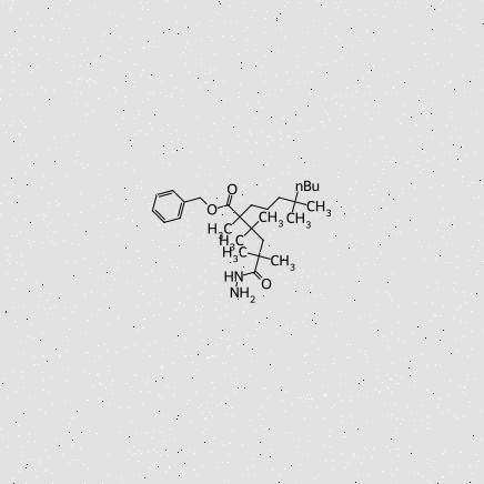 CCCCC(C)(C)CCCC(C)(C(=O)OCc1ccccc1)C(C)(C)CC(C)(C)C(=O)NN